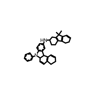 CC1(C)C2=C(CCC=C2)C2=C1CC(Nc1ccc3c(c1)C1C4=C(C=CC1N3c1ccccc1)CCC=C4)CC2